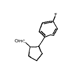 O=CC1CCCC1c1ccc(F)cc1